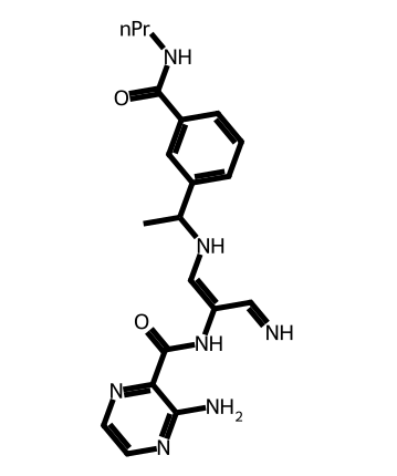 CCCNC(=O)c1cccc(C(C)N/C=C(\C=N)NC(=O)c2nccnc2N)c1